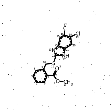 COC(=O)c1ccccc1CSc1nc2cc(Cl)c(Cl)cc2[nH]1